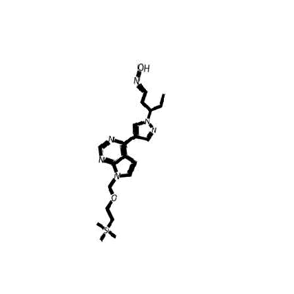 CCC(C/C=N/O)n1cc(-c2ncnc3c2ccn3COCC[Si](C)(C)C)cn1